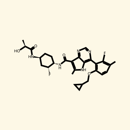 Cc1ccc(OCC2CC2)c(-c2ncnc3c(C(=O)N[C@H]4CC[C@H](NC(=O)[C@H](C)O)C[C@H]4F)c(C)[nH]c23)c1F